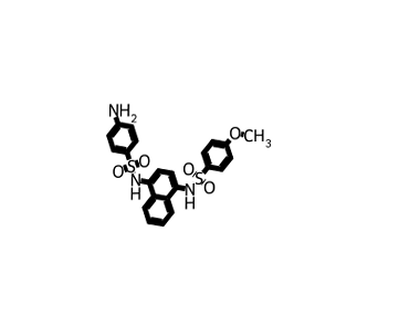 COc1ccc(S(=O)(=O)Nc2ccc(NS(=O)(=O)c3ccc(N)cc3)c3ccccc23)cc1